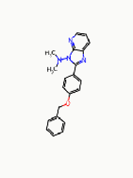 CN(C)n1c(-c2ccc(OCc3ccccc3)cc2)nc2cccnc21